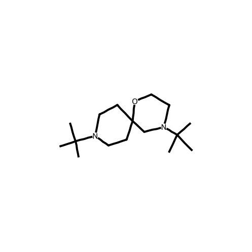 CC(C)(C)N1CCC2(CC1)CN(C(C)(C)C)CCO2